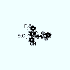 CCOC(=O)C1=C(C)N(c2cccc(C(F)(F)F)c2)C(=O)N(CCCCCN2C(=O)c3ccccc3C2=O)[C@@H]1c1ccc(C#N)cc1